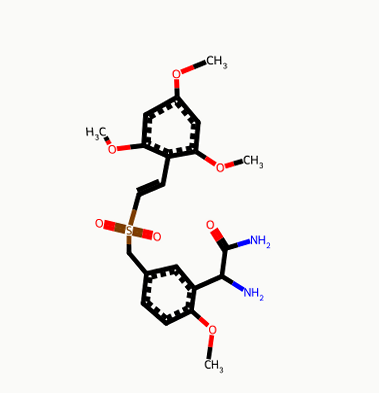 COc1cc(OC)c(C=CS(=O)(=O)Cc2ccc(OC)c(C(N)C(N)=O)c2)c(OC)c1